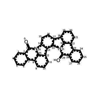 O=c1c2ccccc2c2cccc3c4c(ccc5c6cccc7c8ccccc8c(=O)n(c76)c54)n1c23